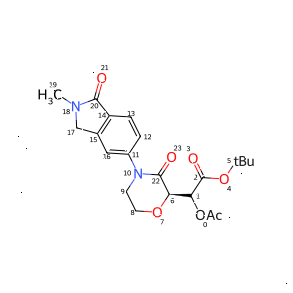 CC(=O)OC(C(=O)OC(C)(C)C)[C@H]1OCCN(c2ccc3c(c2)CN(C)C3=O)C1=O